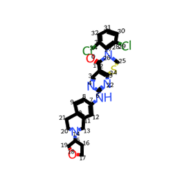 O=C1c2cnc(Nc3ccc4c(c3)CN(C3CCOC3)CC4)nc2SCN1c1c(Cl)cccc1Cl